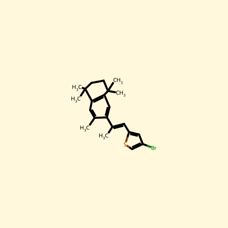 C/C(=C\c1cc(Br)cs1)c1cc2c(cc1C)C(C)(C)CCC2(C)C